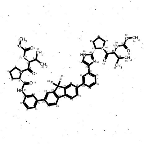 COC(=O)N[C@H](C(=O)N1CCC[C@H]1C(=O)Nc1cccc(-c2ccc3c(c2)C(F)(F)c2cc(-c4cccc(-c5c[nH]c([C@@H]6CCCN6C(=O)[C@@H](NC(=O)OC)C(C)C)n5)c4)ccc2-3)c1)C(C)C